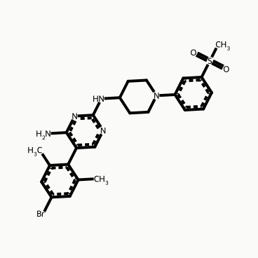 Cc1cc(Br)cc(C)c1-c1cnc(NC2CCN(c3cccc(S(C)(=O)=O)c3)CC2)nc1N